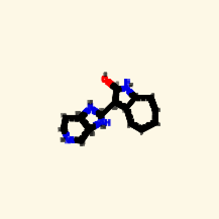 O=c1[nH]c2cccccc-2c1-c1nc2ccncc2[nH]1